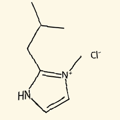 CC(C)Cc1[nH]cc[n+]1C.[Cl-]